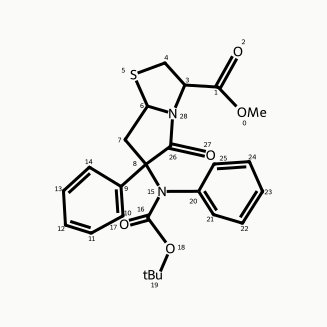 COC(=O)C1CSC2CC(c3ccccc3)(N(C(=O)OC(C)(C)C)c3ccccc3)C(=O)N21